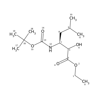 CCOC(=O)C(O)[C@H](CC(C)C)NC(=O)OC(C)(C)C